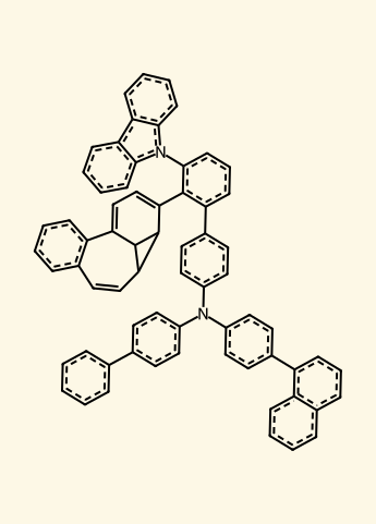 C1=CC2C3C(=CC=C(c4c(-c5ccc(N(c6ccc(-c7ccccc7)cc6)c6ccc(-c7cccc8ccccc78)cc6)cc5)cccc4-n4c5ccccc5c5ccccc54)C23)c2ccccc21